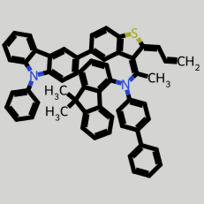 C=C/C=c1/sc2ccc(-c3ccc4c(c3)c3ccccc3n4-c3ccccc3)cc2/c1=C(/C)N(c1ccc(-c2ccccc2)cc1)c1cccc2c1-c1ccccc1C2(C)C